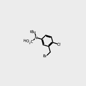 CC(C)(C)N(C(=O)O)c1ccc(Cl)c(CBr)c1